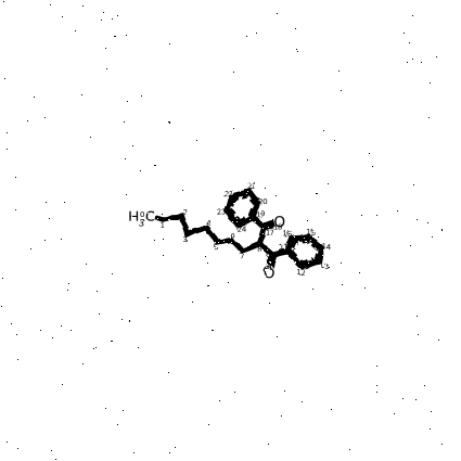 CCCCCCCCC(C(=O)c1ccccc1)C(=O)c1ccccc1